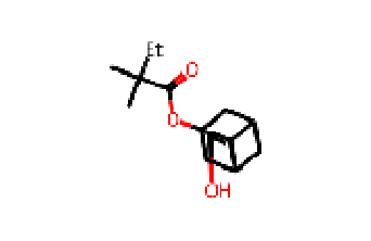 CCC(C)(C)C(=O)OC12CC(O)=C3C(CC3C1)C2